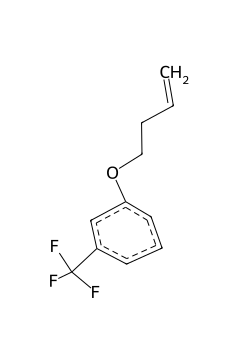 C=CCCOc1cccc(C(F)(F)F)c1